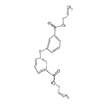 C=CCOC(=O)c1cccc(Oc2cccc(C(=O)OCC=C)c2)c1